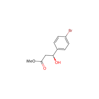 COC(=O)C[C@H](O)c1ccc(Br)cc1